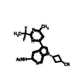 CC(=O)Nc1cc2c(-c3cc(C)nc(C(C)(F)F)n3)cn([C@H]3C[C@H](C#N)C3)c2cn1